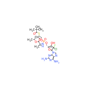 CC(C)OC(=O)[C@H](C)NP(=O)(OCCSC(=O)C(C)(C)C)OC[C@H]1O[C@@H](n2cnc3c(N)nc(N)nc32)[C@@](F)(Cl)[C@@H]1O